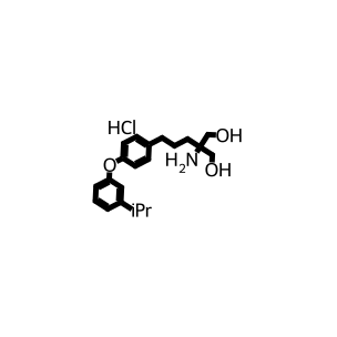 CC(C)c1cccc(Oc2ccc(CCCC(N)(CO)CO)cc2)c1.Cl